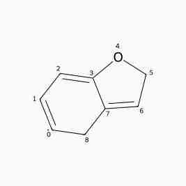 [C]1=CC=C2OCC=C2C1